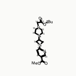 COC(=O)c1ccc(N2CC(N3CCN(CC(=O)OC(C)(C)C)CC3)C2)nc1